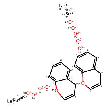 C1=COc2ccccc2C1.C1=COc2ccccc2C1.[La+3].[La+3].[O-2].[O-2].[O-2].[O-2].[O-2].[O-2].[O-2].[O-2].[O-2].[Ru+4].[Ru+4].[Sr+2].[Sr+2]